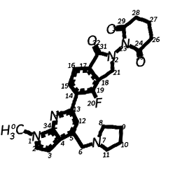 Cn1ccc2c(CN3CCCC3)cc(-c3ccc4c(c3F)CN(N3C(=O)CCCC3=O)C4=O)nc21